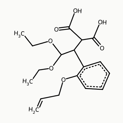 C=CCOc1ccccc1C(C(OCC)OCC)C(C(=O)O)C(=O)O